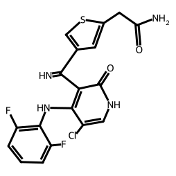 N=C(c1csc(CC(N)=O)c1)c1c(Nc2c(F)cccc2F)c(Cl)c[nH]c1=O